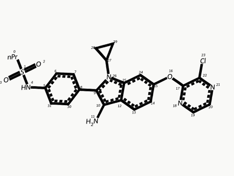 CCCS(=O)(=O)Nc1ccc(-c2c(N)c3ccc(Oc4nccnc4Cl)cc3n2C2CC2)cc1